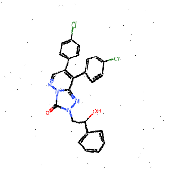 O=c1n(CC(O)c2ccccc2)nc2c(-c3ccc(Cl)cc3)c(-c3ccc(Cl)cc3)cnn12